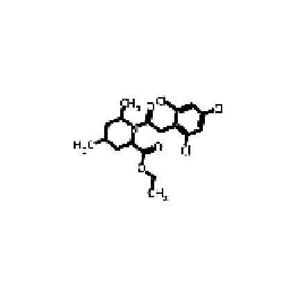 CCOC(=O)C1CC(C)CC(C)N1C(=O)Cc1c(Cl)cc(Cl)cc1Cl